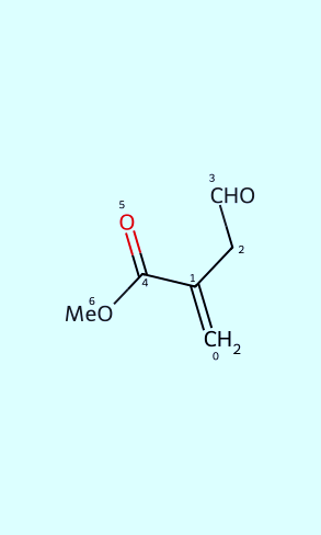 C=C(CC=O)C(=O)OC